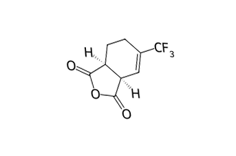 O=C1OC(=O)[C@@H]2C=C(C(F)(F)F)CC[C@H]12